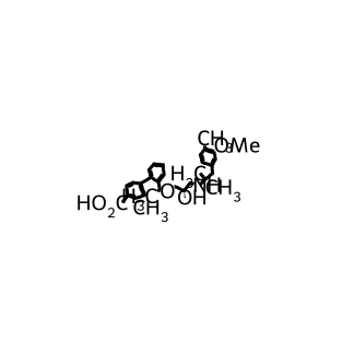 COc1cc(CC(C)(C)NC[C@H](O)COC(C)c2ccccc2-c2ccc(C(=O)O)c(C)c2)ccc1C